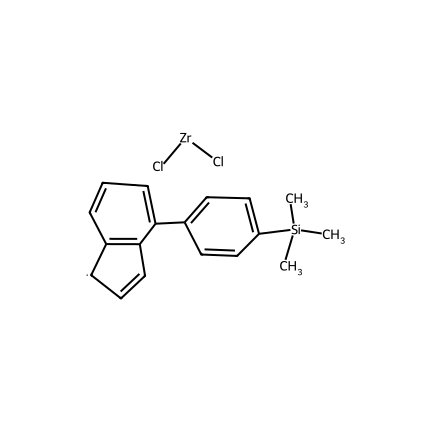 C[Si](C)(C)c1ccc(-c2cccc3c2C=C[CH]3)cc1.[Cl][Zr][Cl]